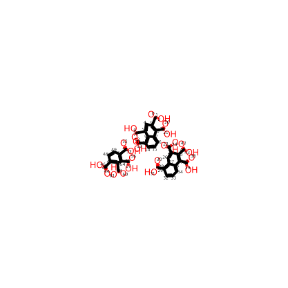 O=C(O)c1cc(C(=O)O)c2c(C(=O)O)cccc2c1C(=O)O.O=C(O)c1cc2c(C(=O)O)cccc2c(C(=O)O)c1C(=O)O.O=C(O)c1ccc(C(=O)O)c(C(=O)O)c1C(=O)O